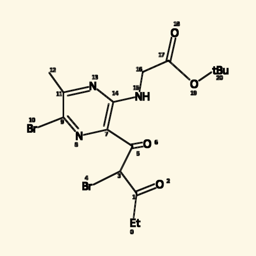 CCC(=O)C(Br)C(=O)c1nc(Br)c(C)nc1NCC(=O)OC(C)(C)C